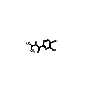 CC(C)NC(=O)c1ncc(O)c(O)n1